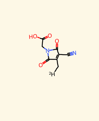 [2H]CC1=C(C#N)C(=O)N(CC(=O)O)C1=O